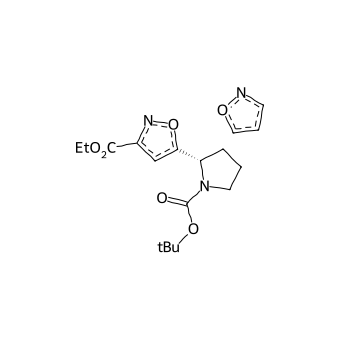 CCOC(=O)c1cc([C@@H]2CCCN2C(=O)OC(C)(C)C)on1.c1cnoc1